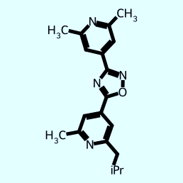 Cc1cc(-c2noc(-c3cc(C)nc(CC(C)C)c3)n2)cc(C)n1